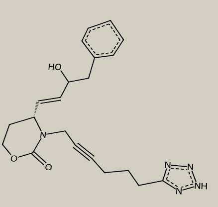 O=C1OCC[C@H](/C=C/C(O)Cc2ccccc2)N1CC#CCCCc1nn[nH]n1